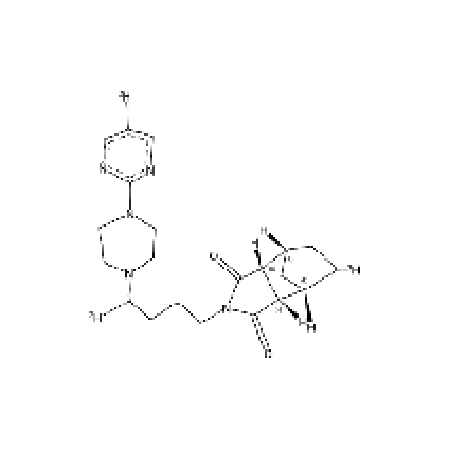 [2H]c1cnc(N2CCN(C([2H])CCCN3C(=O)[C@@H]4[C@@H]5CC([2H])[C@@H](C5)[C@@H]4C3=O)CC2)nc1